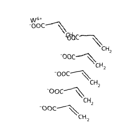 C=CC(=O)[O-].C=CC(=O)[O-].C=CC(=O)[O-].C=CC(=O)[O-].C=CC(=O)[O-].C=CC(=O)[O-].[W+6]